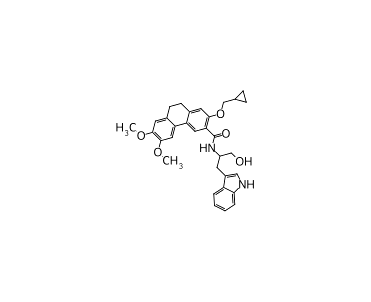 COc1cc2c(cc1OC)-c1cc(C(=O)NC(CO)Cc3c[nH]c4ccccc34)c(OCC3CC3)cc1CC2